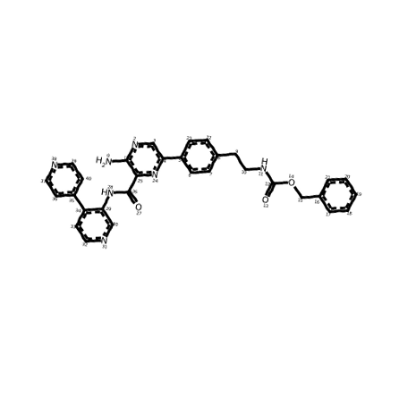 Nc1ncc(-c2ccc(CCNC(=O)OCc3ccccc3)cc2)nc1C(=O)Nc1cnccc1-c1ccncc1